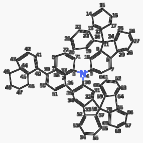 c1ccc(N(c2ccc3c(c2)C(c2ccccc2)(c2ccccc2)c2ccccc2-3)c2cc3c(cc2-c2ccc(-c4cccc5c4CCCC5)cc2)-c2ccccc2C32c3ccccc3-c3ccccc32)cc1